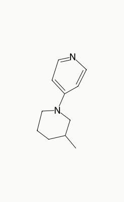 CC1CCCN(c2ccncc2)C1